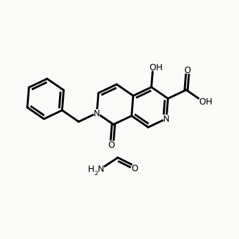 NC=O.O=C(O)c1ncc2c(=O)n(Cc3ccccc3)ccc2c1O